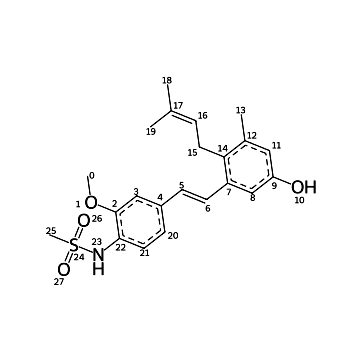 COc1cc(/C=C/c2cc(O)cc(C)c2CC=C(C)C)ccc1NS(C)(=O)=O